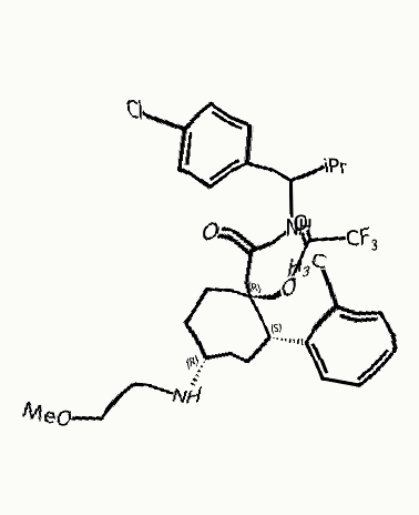 COCCN[C@@H]1CC[C@](OC(=O)C(F)(F)F)(C(=O)NC(c2ccc(Cl)cc2)C(C)C)[C@H](c2ccccc2C)C1